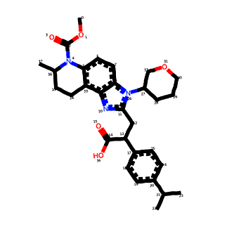 COC(=O)N1c2ccc3c(nc(CC(C(=O)O)c4ccc(C(C)C)cc4)n3C3CCCOC3)c2CCC1C